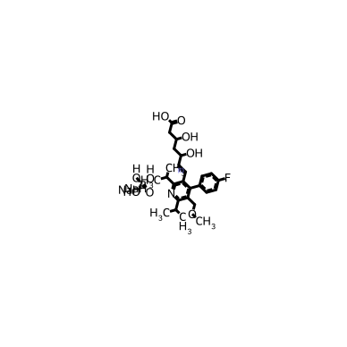 COCc1c(C(C)C)nc(C(C)C)c(/C=C/C(O)CC(O)CC(=O)O)c1-c1ccc(F)cc1.O=P(O)(O)O.[NaH].[NaH]